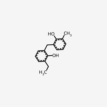 CCc1cccc(Cc2cccc(C)c2O)c1O